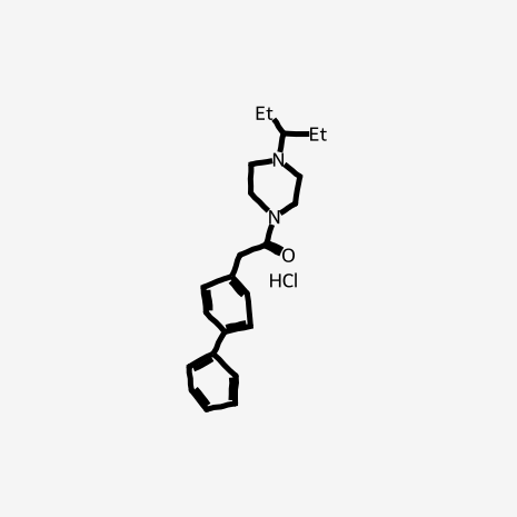 CCC(CC)N1CCN(C(=O)Cc2ccc(-c3ccccc3)cc2)CC1.Cl